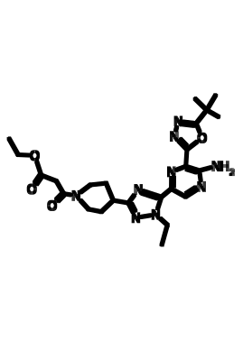 CCOC(=O)CC(=O)N1CCC(c2nc(-c3cnc(N)c(-c4nnc(C(C)(C)C)o4)n3)n(CC)n2)CC1